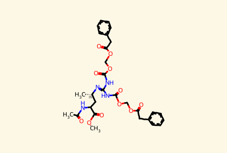 COC(=O)C(C[C@H](C)N=C(NC(=O)OCOC(=O)Cc1ccccc1)NC(=O)OCOC(=O)Cc1ccccc1)NC(C)=O